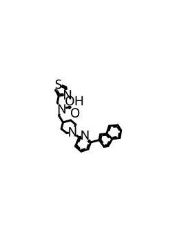 O=C(O)N(Cc1cscn1)CC1CCN(c2cccc(-c3ccc4ccccc4c3)n2)CC1